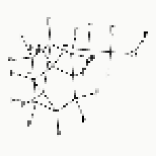 FOC(F)(F)C(F)(F)OC1(C(F)(F)F)C2(F)C(F)(F)C3(F)C(F)(F)C(F)(C2(F)F)C(F)(F)C1(F)C3(F)F